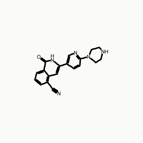 N#Cc1cccc2c(=O)[nH]c(-c3ccc(N4CCNCC4)nc3)cc12